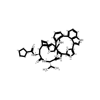 CC(C)[C@@H]1NC(=O)[C@@H](NC(=O)C2CCCC2)Cc2ccc3c(c2)C24c5cccc(c5NC2O3)-c2cccc3[nH]cc(c23)-c2cnc(o2)-c2nc1oc24